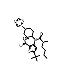 CCCCC(C)C(=O)N(c1cc(C(C)(C)C)sc1C(=O)O)C1CCC(n2cncn2)CC1